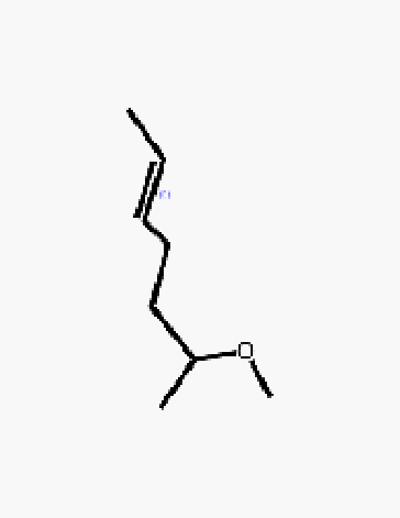 C/C=C/CCC(C)OC